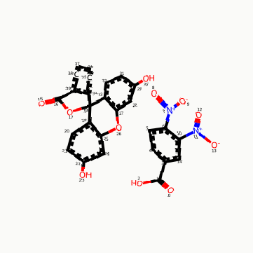 O=C(O)c1ccc([N+](=O)[O-])c([N+](=O)[O-])c1.O=C1OC2(c3ccc(O)cc3Oc3cc(O)ccc32)c2ccccc21